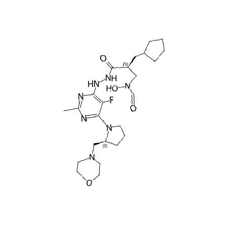 Cc1nc(NNC(=O)[C@@H](CC2CCCC2)CN(O)C=O)c(F)c(N2CCC[C@H]2CN2CCOCC2)n1